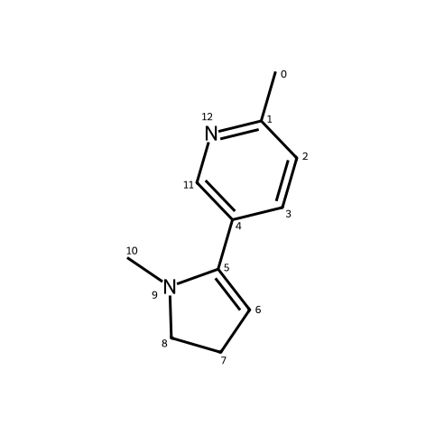 Cc1ccc(C2=CCCN2C)cn1